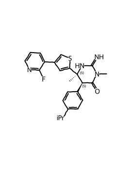 CC(C)c1ccc([C@@H]2C(=O)N(C)C(=N)N[C@]2(C)c2cc(-c3cccnc3F)cs2)cc1